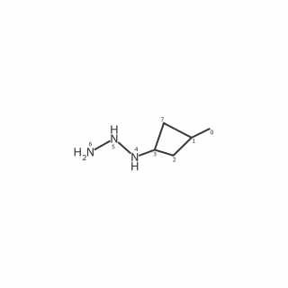 CC1CC(NNN)C1